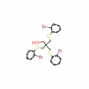 OCC(CSc1ccccc1Br)(CSc1ccccc1Br)CSc1ccccc1Br